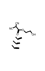 C=CC.C=CC.C=CC.N#CC(C#N)C(=O)OCCO